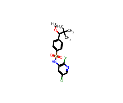 COC(c1ccc(S(=O)(=O)Nc2cc(Cl)cnc2Br)cc1)C(C)(C)C